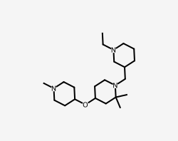 CCN1CCCC(CN2CCC(OC3CCN(C)CC3)CC2(C)C)C1